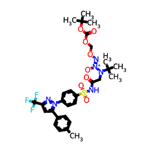 Cc1ccc(-c2cc(C(F)(F)F)nn2-c2ccc(S(=O)(=O)NC(=O)CN([N+]([O-])=NOCOC(=O)OC(C)(C)C)C(C)(C)C)cc2)cc1